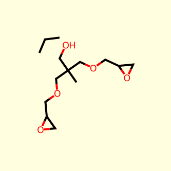 CC(CO)(COCC1CO1)COCC1CO1.CCC